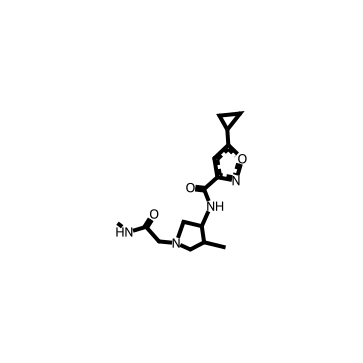 CNC(=O)CN1CC(C)C(NC(=O)c2cc(C3CC3)on2)C1